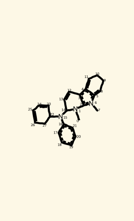 CN1c2c(c3c(n2C)=CCCC=3)C=CC1N(c1ccccc1)C1C=CC=CC1